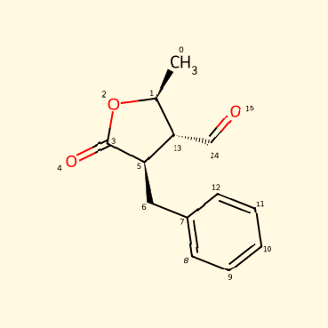 C[C@@H]1OC(=O)[C@H](Cc2ccccc2)[C@H]1C=O